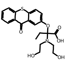 CCC(Oc1ccc2sc3ccccc3c(=O)c2c1)(C(=O)O)N(CCO)CCO